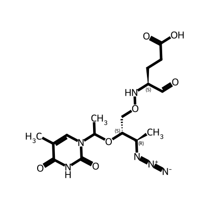 Cc1cn(C(C)O[C@H](CON[C@H](C=O)CCC(=O)O)[C@@H](C)N=[N+]=[N-])c(=O)[nH]c1=O